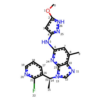 COc1cc(Nc2cc(C)c3ncn([C@@H](C)c4cccnc4F)c3n2)n[nH]1